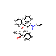 C=CCNCCC(OCCCC)(c1ccccc1)c1ccccc1.O=C(O)C(O)c1ccccc1